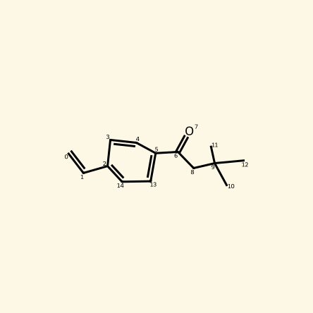 C=Cc1ccc(C(=O)CC(C)(C)C)cc1